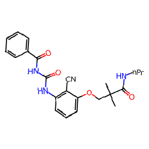 CCCNC(=O)C(C)(C)COc1cccc(NC(=O)NC(=O)c2ccccc2)c1C#N